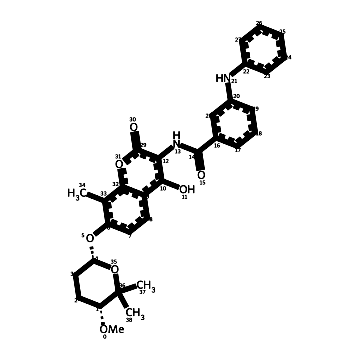 CO[C@@H]1CC[C@H](Oc2ccc3c(O)c(NC(=O)c4cccc(Nc5ccccc5)c4)c(=O)oc3c2C)OC1(C)C